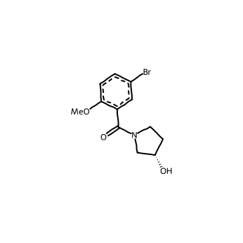 COc1ccc(Br)cc1C(=O)N1CC[C@H](O)C1